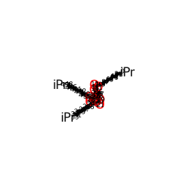 CC(C)CCCCCCCCCCOC(=O)OC1CCC(OC(=O)OCCCCCCCCCCC(C)C)C(OC(=O)OCCCCCCCCCCC(C)C)C1